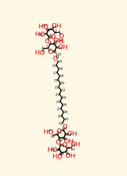 OCC1O[C@@H](OC2C(CO)O[C@@H](COCCCCCCCCCCCCCCCCCCOC3OC(CO)C(OC4OC(CO)C(O)[C@@H](O)[C@H]4O)[C@@H](O)[C@H]3O)C(O)[C@H]2O)C(O)[C@@H](O)C1O